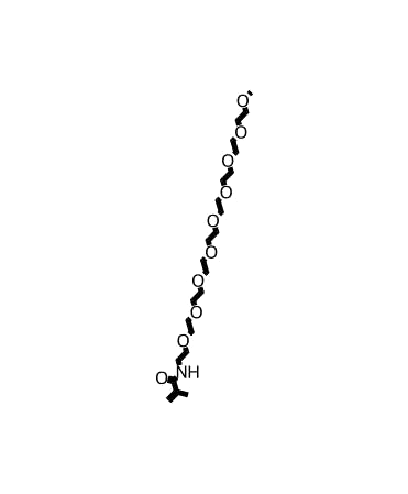 C=C(C)C(=O)NCCOCCOCCOCCOCCOCCOCCOCCOCCOC